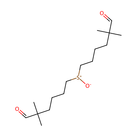 CC(C)(C=O)CCCC[S+]([O-])CCCCC(C)(C)C=O